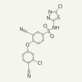 N#Cc1ccc(Oc2ccc(S(=O)(=O)Nc3nnc(Cl)s3)cc2C#N)cc1Cl